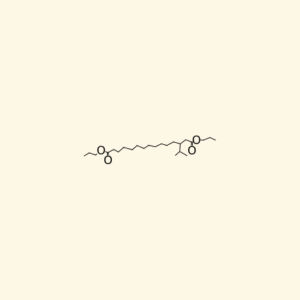 CCCOC(=O)CCCCCCCCCCCC(CC(=O)OCCC)C(C)C